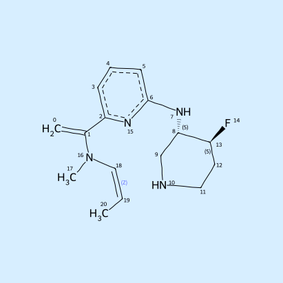 C=C(c1cccc(N[C@H]2CNCC[C@@H]2F)n1)N(C)/C=C\C